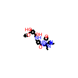 CCc1nc2c(cnn2CC)c(NC2CCOCC2)c1CNC(=O)c1ccc(CNC[C@H](O)c2ccc(O)c(CO[Si](C)(C)C(C)(C)C)c2)cc1